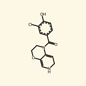 O=C(c1ccc(O)c(Cl)c1)N1CCOC2=CNCC=C21